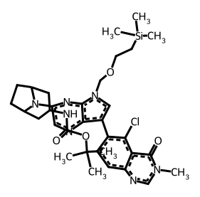 Cn1cnc2ccc(-c3cn(COCC[Si](C)(C)C)c4nc(N5C6CCC5CC(NC(=O)OC(C)(C)C)C6)cnc34)c(Cl)c2c1=O